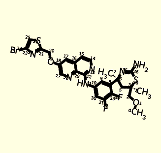 COC[C@@]1(C)C[C@@](C)(c2cc(Nc3nccc4cc(OCc5nc(Br)cs5)cnc34)cc(F)c2F)N=C(N)S1